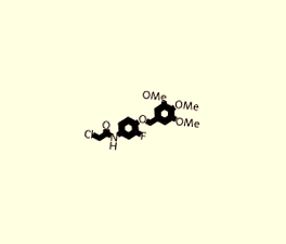 COc1cc(COc2ccc(NC(=O)CCl)cc2F)cc(OC)c1OC